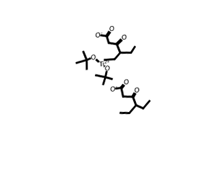 CC(C)(C)[O][Ti+2][O]C(C)(C)C.CCC(CC)C(=O)CC(=O)[O-].CCC(CC)C(=O)CC(=O)[O-]